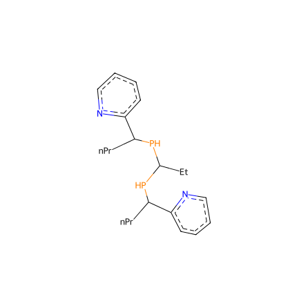 CCCC(PC(CC)PC(CCC)c1ccccn1)c1ccccn1